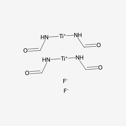 O=C[NH][Ti+][NH]C=O.O=C[NH][Ti+][NH]C=O.[F-].[F-]